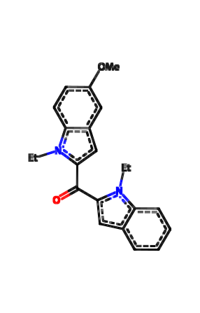 CCn1c(C(=O)c2cc3cc(OC)ccc3n2CC)cc2ccccc21